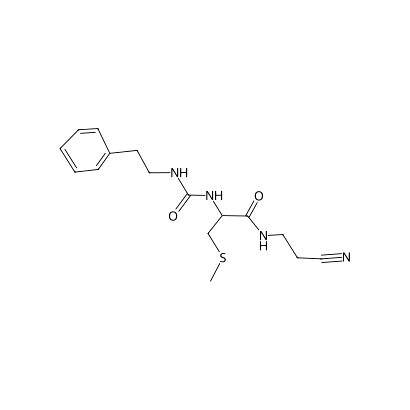 CSCC(NC(=O)NCCc1ccccc1)C(=O)NCCC#N